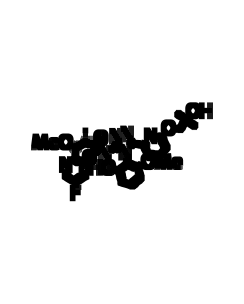 COc1cccc(O)c1-n1c(NS(=O)(=O)[C@@H](C)[C@H](OC)c2ncc(F)cn2)nnc1-c1c#ccc(OCC(C)(C)O)n1